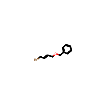 BrC/C=C/COCc1ccccc1